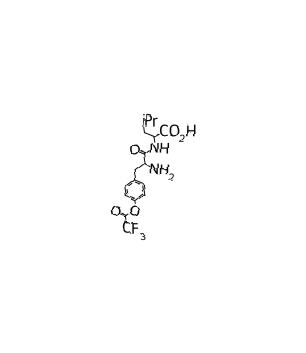 CC(C)C[C@H](NC(=O)[C@@H](N)Cc1ccc(OC(=O)C(F)(F)F)cc1)C(=O)O